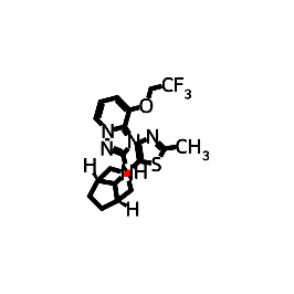 Cc1ncc(N2C[C@H]3CC[C@@H](C2)C3Nc2nc3c(OCC(F)(F)F)cccn3n2)s1